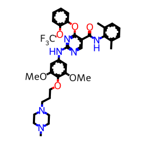 COc1cc(Nc2ncc(C(=O)Nc3c(C)cccc3C)c(Oc3ccccc3OC(F)(F)F)n2)cc(OC)c1OCCCN1CCN(C)CC1